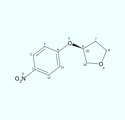 O=[N+]([O-])c1ccc(O[C@H]2CCOC2)cc1